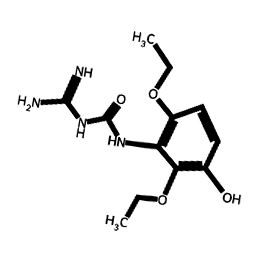 CCOc1ccc(O)c(OCC)c1NC(=O)NC(=N)N